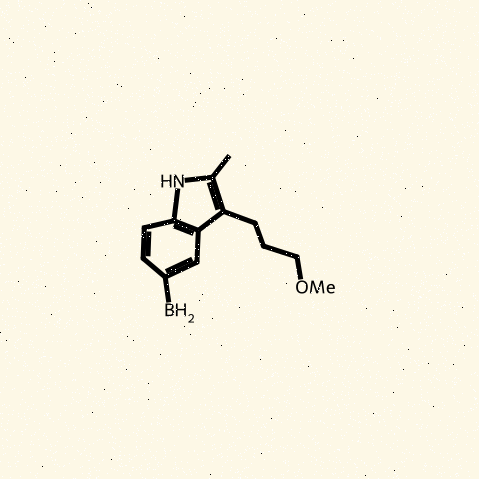 Bc1ccc2[nH]c(C)c(CCCOC)c2c1